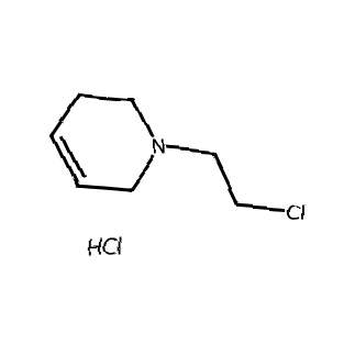 Cl.ClCCN1CC=CCC1